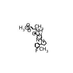 Cc1c(F)cccc1C1CCCN1c1cnc(C(=O)N[C@H](C)/C=C/S(C)(=O)=O)cn1